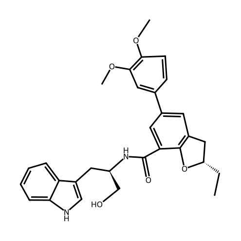 CC[C@H]1Cc2cc(-c3ccc(OC)c(OC)c3)cc(C(=O)N[C@@H](CO)Cc3c[nH]c4ccccc34)c2O1